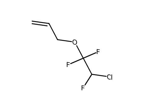 C=CCOC(F)(F)C(F)Cl